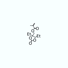 C=C(C)C(=O)OCC1(CC)OC(=O)OC1CC